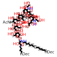 CCCCCCCCCCCCC/C=C/[C@@H](O)[C@H](CO[C@@H]1OC(CO)[C@@H](O[C@@H]2OC(CO)[C@H](O)[C@H](O[C@@H]3OC(CO)[C@@H](O[C@@H]4OC(CO)[C@H](O)[C@H](O[C@]5(C(=O)O)CC(O)[C@@H](NC(=O)CO)C([C@H](O)[C@@H](CO)O[C@]6(C(=O)O)CC(O)[C@@H](NC(=O)CO)C([C@H](O)[C@H](O)CO)O6)O5)C4O)[C@H](O)C3NC(C)=O)C2O)[C@H](O)C1O)NC(=O)CCCCCCCCCCCCCCCCCCCCCCC